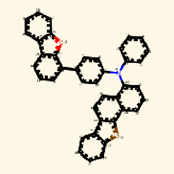 c1ccc(N(c2ccc(-c3cccc4c3oc3ccccc34)cc2)c2cccc3c2ccc2c4ccccc4sc32)cc1